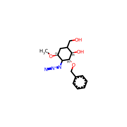 CO[C@H]1CC(CO)[C@@H](O)[C@H](OCc2ccccc2)C1N=[N+]=[N-]